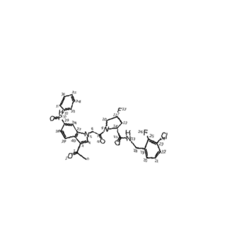 CC(=O)c1cn(CC(=O)N2C[C@H](F)C[C@H]2C(=O)NCc2cccc(Cl)c2F)c2cc([PH](=O)c3ccccc3)ccc12